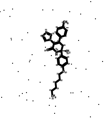 Cc1ccc(C2=C(n3cnnn3)C(=O)N[C@@](c3ccc(OCCCCCC(F)(F)F)cc3)(C(F)(F)F)C2)cc1